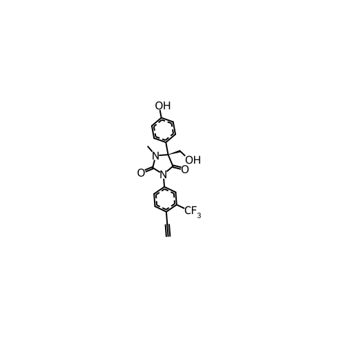 C#Cc1ccc(N2C(=O)N(C)[C@](CO)(c3ccc(O)cc3)C2=O)cc1C(F)(F)F